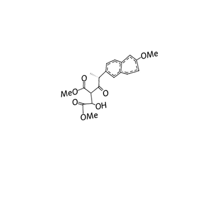 COC(=O)C(O)C(C(=O)OC)C(=O)[C@H](C)c1ccc2cc(OC)ccc2c1